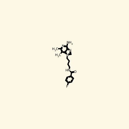 Cc1nc(N)c2ncn(CCCCNC(=O)c3ccc(F)cc3)c2c1C